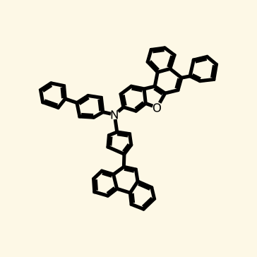 c1ccc(-c2ccc(N(c3ccc(-c4cc5ccccc5c5ccccc45)cc3)c3ccc4c(c3)oc3cc(-c5ccccc5)c5ccccc5c34)cc2)cc1